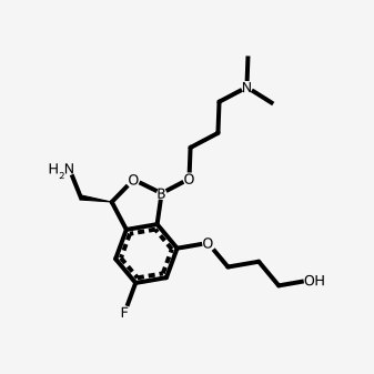 CN(C)CCCOB1O[C@H](CN)c2cc(F)cc(OCCCO)c21